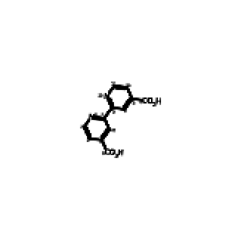 O=C(O)c1ccnc(-c2cc(C(=O)O)ccn2)c1